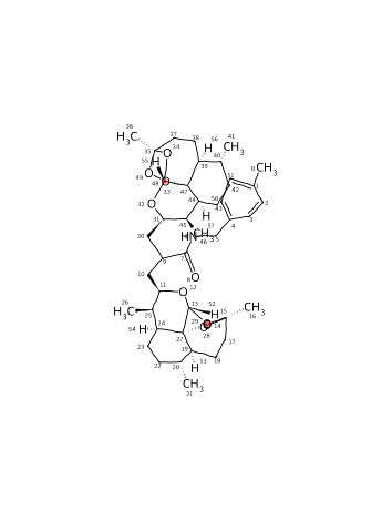 Cc1ccc(CNC(=O)C(C[C@H]2O[C@@H]3O[C@]4(C)CC[C@H]5[C@H](C)CC[C@@H]([C@H]2C)[C@@]35OO4)C[C@H]2O[C@@H]3O[C@]4(C)CC[C@H]5[C@H](C)CC[C@@H]([C@H]2C)[C@@]35OO4)cc1